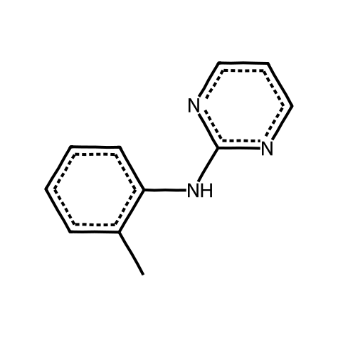 Cc1ccccc1Nc1ncccn1